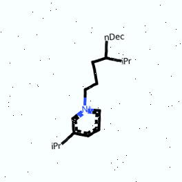 CCCCCCCCCCC(CCC[n+]1cccc(C(C)C)c1)C(C)C